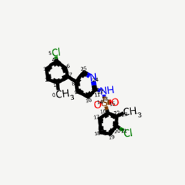 Cc1ccc(Cl)cc1-c1ccc(NS(=O)(=O)c2cccc(Cl)c2C)nc1